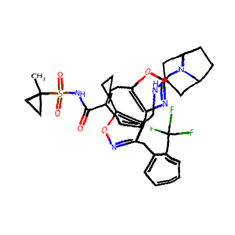 CC1(S(=O)(=O)NC(=O)c2ccc3nc(N4C5CCC4CC(NCc4c(-c6ccccc6C(F)(F)F)noc4C4CC4)C5)oc3c2)CC1